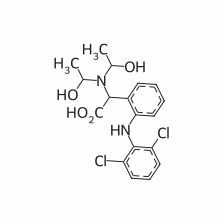 CC(O)N(C(C)O)C(C(=O)O)c1ccccc1Nc1c(Cl)cccc1Cl